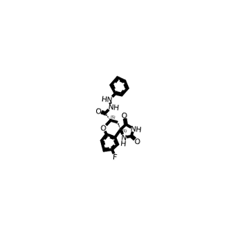 O=C1NC(=O)[C@@]2(C[C@@H](C(=O)NNc3ccccc3)Oc3ccc(F)cc32)N1